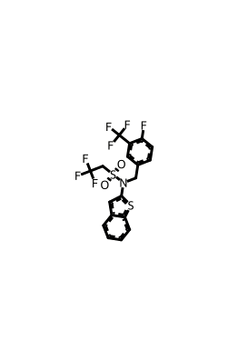 O=S(=O)(CC(F)(F)F)N(Cc1ccc(F)c(C(F)(F)F)c1)c1cc2ccccc2s1